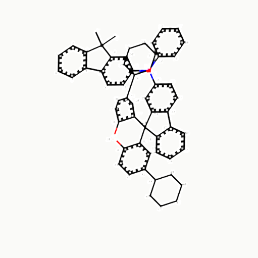 CC1(C)c2ccccc2-c2ccc(N(c3ccccc3)c3ccc4c(c3)C3(c5cc(C6CCCCC6)ccc5Oc5ccc(C6CCCCC6)cc53)c3ccccc3-4)cc21